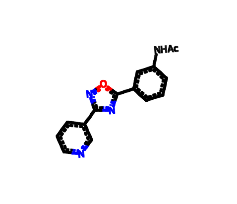 CC(=O)Nc1cccc(-c2nc(-c3cccnc3)no2)c1